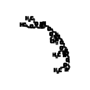 C#CCOC[C@H](Cn1cc(COC[C@@H](Cn2cc(COC[C@@H](Cn3cc(COC[C@H](CBr)OCC=C)nn3)OCC=C)nn2)OCC=C)nn1)OCC=C